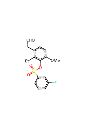 CCc1c(CC=O)ccc(OC)c1OS(=O)(=O)c1cccc(F)c1